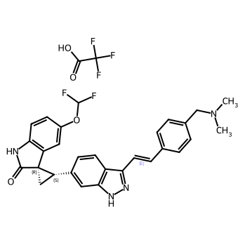 CN(C)Cc1ccc(/C=C/c2n[nH]c3cc([C@@H]4C[C@@]45C(=O)Nc4ccc(OC(F)F)cc45)ccc23)cc1.O=C(O)C(F)(F)F